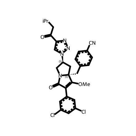 COC1=C(c2cc(Cl)cc(Cl)c2)C(=O)N2C[C@@H](n3cc(C(=O)CC(C)C)nn3)C[C@@]12Cc1ccc(C#N)cc1